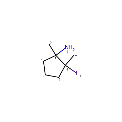 CC1(N)CCCC1(C)I